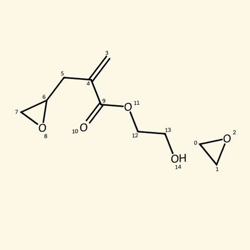 C1CO1.C=C(CC1CO1)C(=O)OCCO